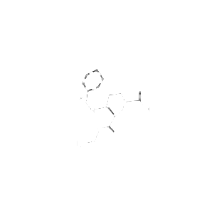 CCOC(=O)C1=C(N[C@H](C)c2ccccc2)CCN(C(=O)O)C1